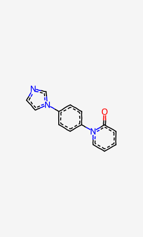 O=c1ccccn1-c1ccc(-n2ccnc2)cc1